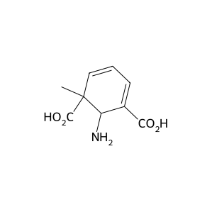 CC1(C(=O)O)C=CC=C(C(=O)O)C1N